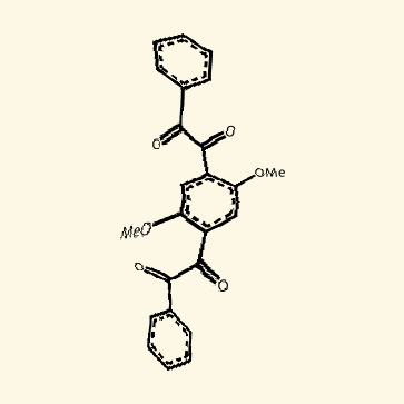 COc1cc(C(=O)C(=O)c2ccccc2)c(OC)cc1C(=O)C(=O)c1ccccc1